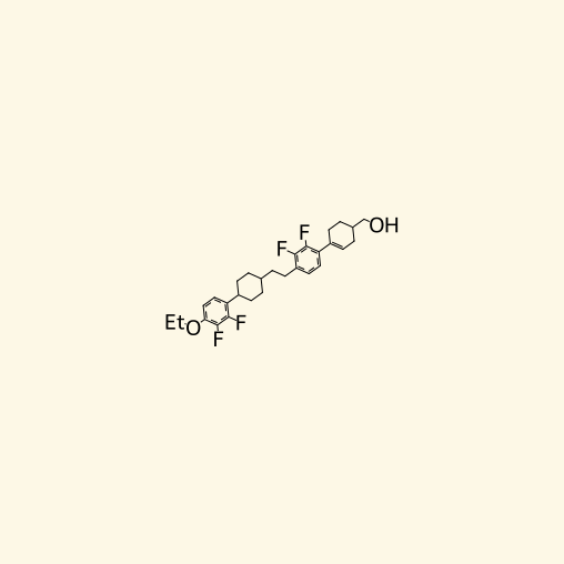 CCOc1ccc(C2CCC(CCc3ccc(C4=CCC(CO)CC4)c(F)c3F)CC2)c(F)c1F